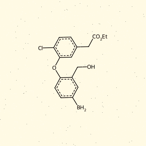 Bc1ccc(Oc2cc(CC(=O)OCC)ccc2Cl)c(CO)c1